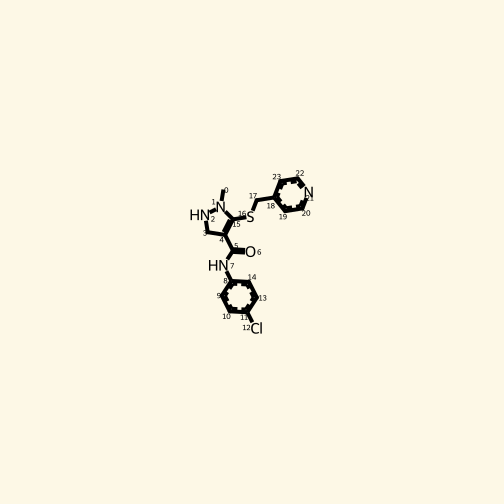 CN1NCC(C(=O)Nc2ccc(Cl)cc2)=C1SCc1ccncc1